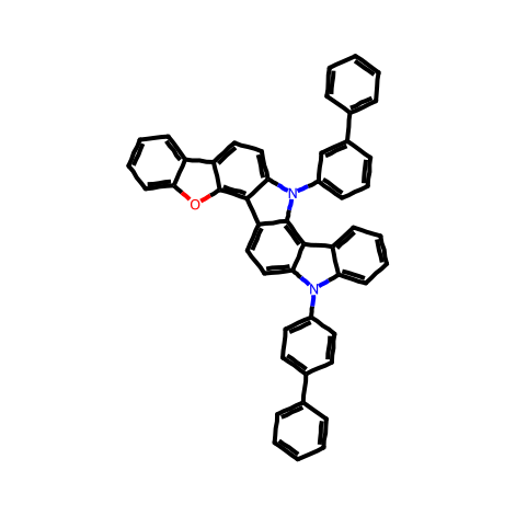 c1ccc(-c2ccc(-n3c4ccccc4c4c3ccc3c5c6oc7ccccc7c6ccc5n(-c5cccc(-c6ccccc6)c5)c34)cc2)cc1